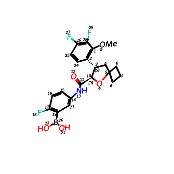 COc1c([C@@H]2CC3(CCC3)O[C@H]2C(=O)Nc2ccc(F)c(B(O)O)c2)ccc(F)c1F